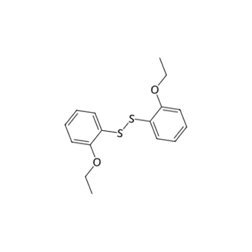 CCOc1ccccc1SSc1ccccc1OCC